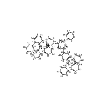 c1ccc(-c2nc(-c3ccc(-c4cccc(-c5ccccc5)c4-n4c5ccccc5c5ccccc54)nc3)nc(-c3ccc(-n4c5ccccc5c5ccccc54)c(-c4ccccc4)c3)n2)cc1